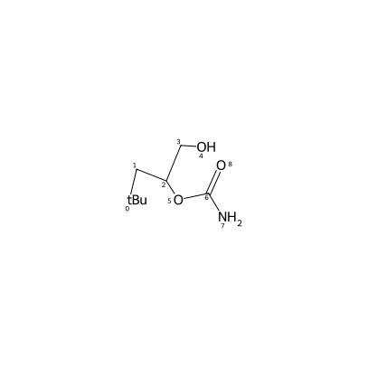 CC(C)(C)CC(CO)OC(N)=O